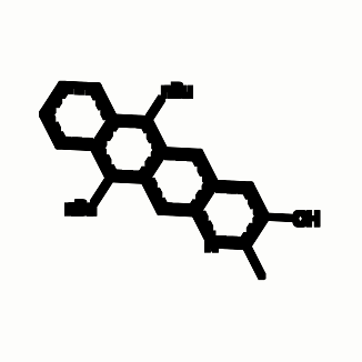 CCCCc1c2ccccc2c(CCCC)c2cc3nc(C)c(O)cc3cc12